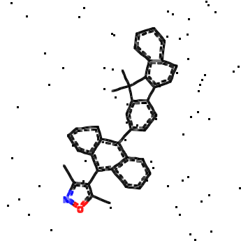 Cc1noc(C)c1-c1c2ccccc2c(-c2ccc3c(c2)C(C)(C)c2c-3ccc3ccccc23)c2ccccc12